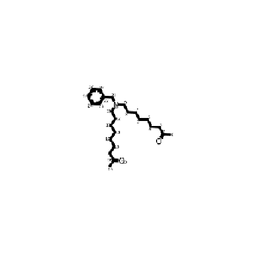 CC(=O)CCCCCCCN(CCCCCCCC(C)=O)Cc1ccccc1